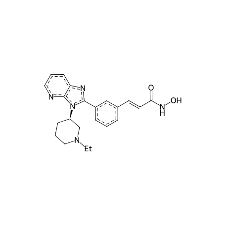 CCN1CCC[C@@H](n2c(-c3cccc(/C=C/C(=O)NO)c3)nc3cccnc32)C1